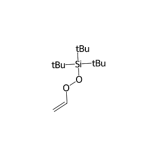 C=COO[Si](C(C)(C)C)(C(C)(C)C)C(C)(C)C